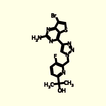 CC(C)(O)c1ccc(F)c(Cn2cc(-c3nc(N)nc4c(Br)csc34)nn2)n1